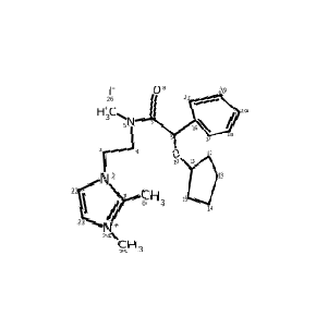 Cc1n(CCN(C)C(=O)C(OC2CCCC2)c2ccccc2)cc[n+]1C.[I-]